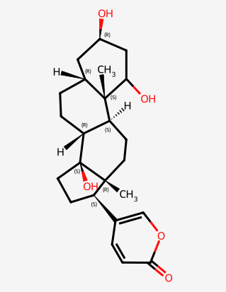 C[C@]12C(O)C[C@H](O)C[C@H]1CC[C@@H]1[C@@H]2CC[C@]2(C)[C@@H](c3ccc(=O)oc3)CC[C@]12O